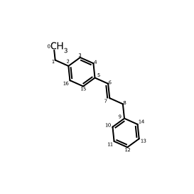 CCc1ccc(C=CCc2ccccc2)cc1